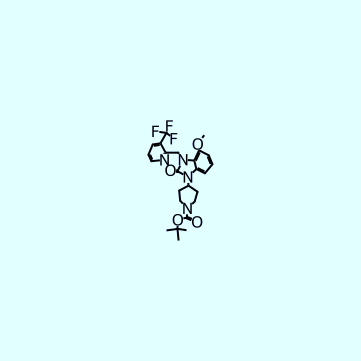 COc1cccc2c1n(Cc1ncccc1C(F)(F)F)c(=O)n2C1CCN(C(=O)OC(C)(C)C)CC1